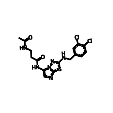 CC(=O)NCCC(=O)Nc1cnc2sc(NCc3ccc(Cl)c(Cl)c3)nn12